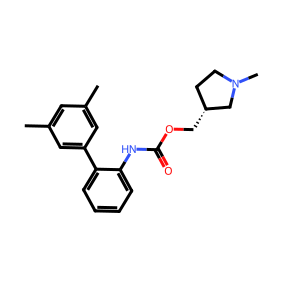 Cc1cc(C)cc(-c2ccccc2NC(=O)OC[C@@H]2CCN(C)C2)c1